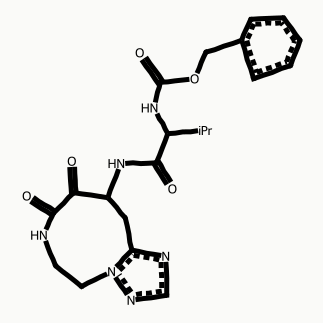 CC(C)C(NC(=O)OCc1ccccc1)C(=O)NC1Cc2ncnn2CCNC(=O)C1=O